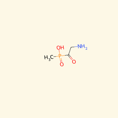 CP(=O)(O)C(=O)CN